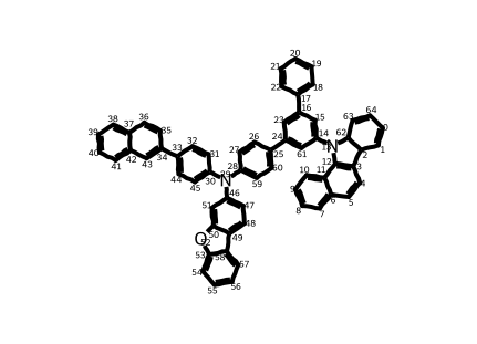 C1=CC2c3ccc4ccccc4c3N(c3cc(-c4ccccc4)cc(-c4ccc(N(c5ccc(-c6ccc7ccccc7c6)cc5)c5ccc6c(c5)oc5ccccc56)cc4)c3)C2C=C1